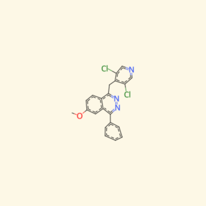 COc1ccc2c(Cc3c(Cl)cncc3Cl)nnc(-c3ccccc3)c2c1